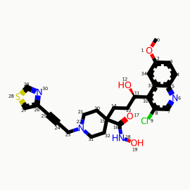 COc1ccc2ncc(Cl)c([C@H](O)CCC3(C(=O)NO)CCN(CC#Cc4cscn4)CC3)c2c1